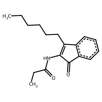 CCCCCCC1=C(NC(=O)CC)C(=O)c2ccccc21